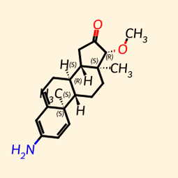 CO[C@H]1C(=O)C[C@H]2[C@@H]3CC=C4C=C(N)C=C[C@]4(C)[C@H]3CC[C@]12C